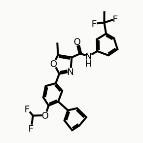 Cc1oc(-c2ccc(OC(F)F)c(-c3ccccc3)c2)nc1C(=O)Nc1cccc(C(C)(F)F)c1